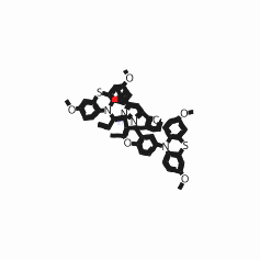 C=C/C(=C\C1=C(C)Oc2ccc(N3c4ccc(OC)cc4Sc4cc(OC)ccc43)cc2C12c1ccccc1-c1cc(C(C)(C)C)nn12)N1c2ccc(OC)cc2Sc2cc(OC)ccc21